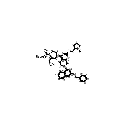 CN1CCCC1COc1nc2c(c(N3CCN(C(=O)OC(C)(C)C)C(CC#N)C3)n1)CCN(c1cc(OCc3ccccc3)cc3ccccc13)C2